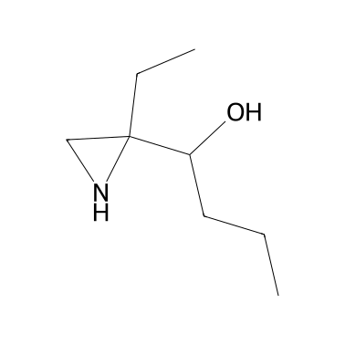 CCCC(O)C1(CC)CN1